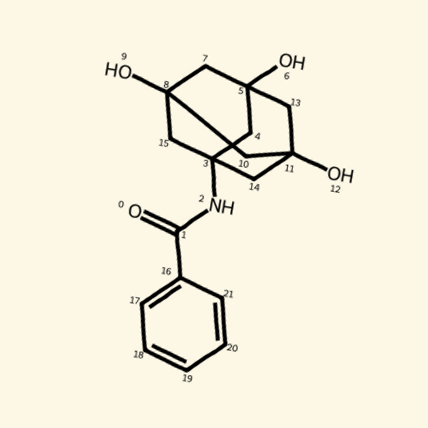 O=C(NC12CC3(O)CC(O)(CC(O)(C3)C1)C2)c1ccccc1